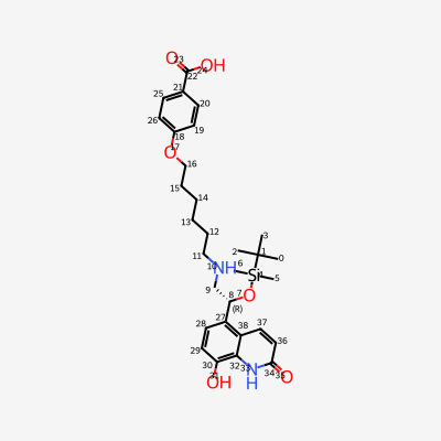 CC(C)(C)[Si](C)(C)O[C@@H](CNCCCCCCOc1ccc(C(=O)O)cc1)c1ccc(O)c2[nH]c(=O)ccc12